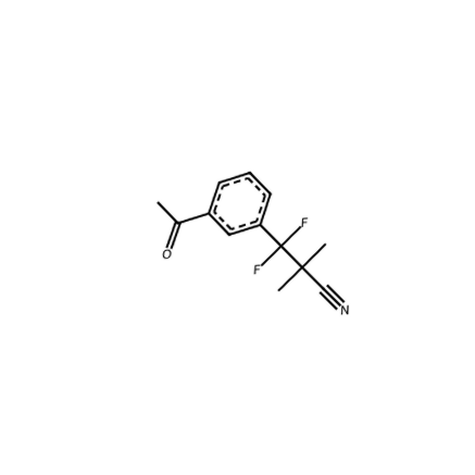 CC(=O)c1cccc(C(F)(F)C(C)(C)C#N)c1